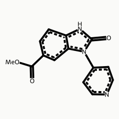 COC(=O)c1ccc2[nH]c(=O)n(-c3ccncc3)c2c1